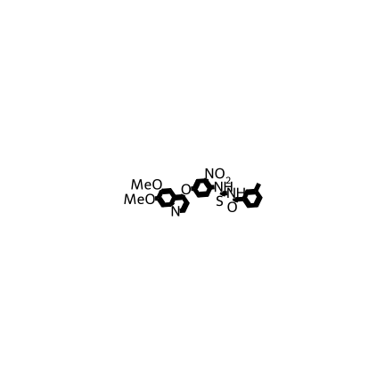 COc1cc2nccc(Oc3ccc(NC(=S)NC(=O)c4cccc(C)c4)c([N+](=O)[O-])c3)c2cc1OC